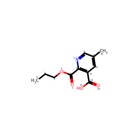 CCCOC(=O)c1ncc(C)cc1C(=O)O